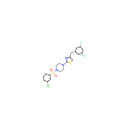 O=S(=O)(c1cccc(Cl)c1)N1CCN(c2nc(Cc3cc(F)cc(F)c3)cs2)CC1